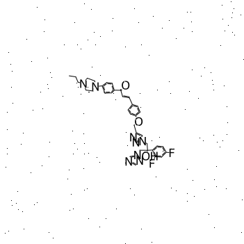 CCCN1CCN(c2ccc(C(=O)/C=C/c3ccc(OCc4cn(CC(O)(Cn5cncn5)c5ccc(F)cc5F)nn4)cc3)cc2)CC1